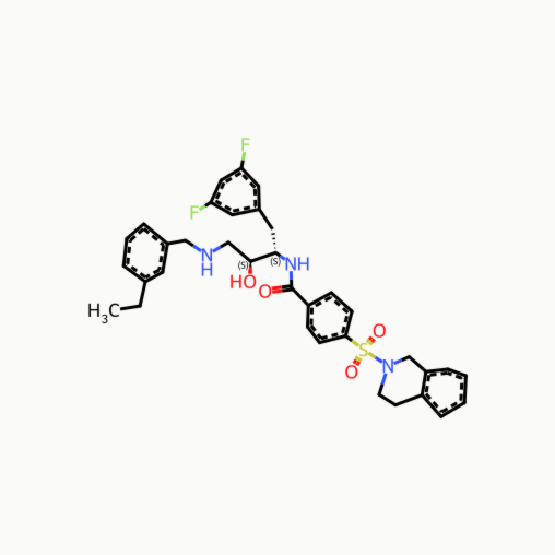 CCc1cccc(CNC[C@H](O)[C@H](Cc2cc(F)cc(F)c2)NC(=O)c2ccc(S(=O)(=O)N3CCc4ccccc4C3)cc2)c1